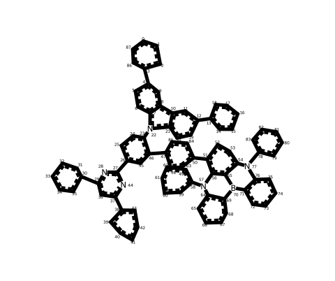 c1ccc(-c2ccc3c(c2)c2cc(-c4ccccc4)ccc2n3-c2ccc(-c3nc(-c4ccccc4)cc(-c4ccccc4)n3)cc2-c2ccc(-c3ccc4c5c3N(c3ccccc3)c3ccccc3B5c3ccccc3N4c3ccccc3)cc2)cc1